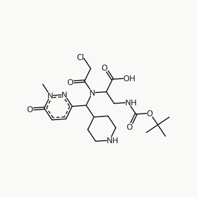 Cn1nc(C(C2CCNCC2)N(C(=O)CCl)C(CNC(=O)OC(C)(C)C)C(=O)O)ccc1=O